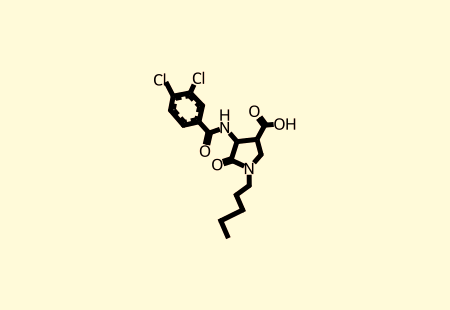 CCCCCN1CC(C(=O)O)C(NC(=O)c2ccc(Cl)c(Cl)c2)C1=O